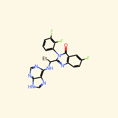 CCC(Nc1ncnc2[nH]cnc12)c1nc2ccc(F)cc2c(=O)n1-c1cccc(F)c1F